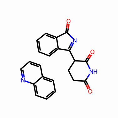 O=C1CCC(C2=NC(=O)c3ccccc32)C(=O)N1.c1ccc2ncccc2c1